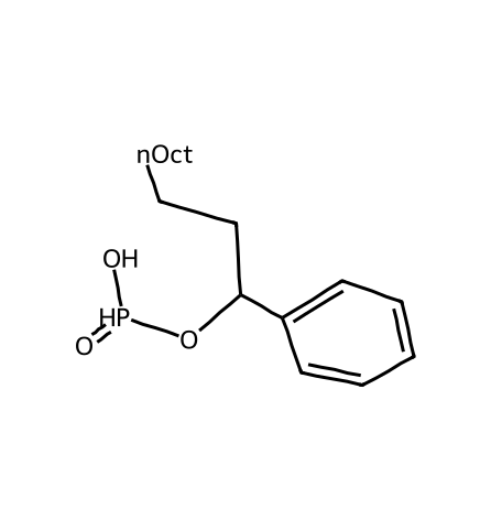 CCCCCCCCCCC(O[PH](=O)O)c1ccccc1